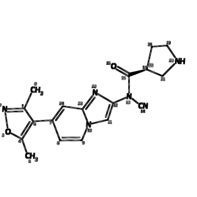 Cc1noc(C)c1-c1ccn2cc(N(C#N)C(=O)[C@H]3CCNC3)nc2c1